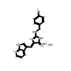 Cl.Cl.O=C1NC(NCc2ccc(Br)cc2)=NC1=Cc1c[nH]c2ncccc12